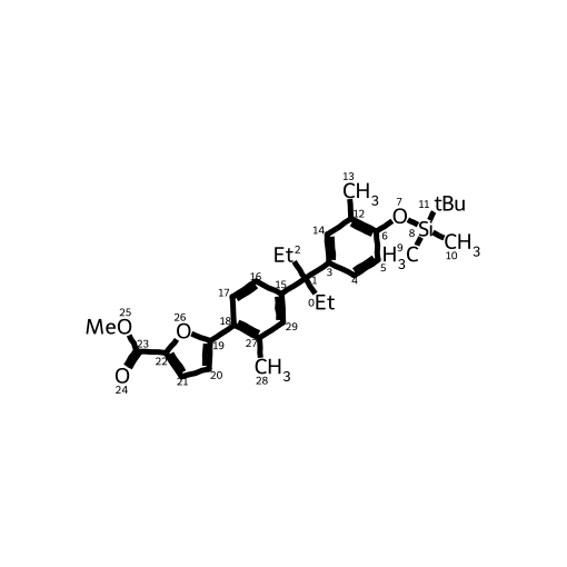 CCC(CC)(c1ccc(O[Si](C)(C)C(C)(C)C)c(C)c1)c1ccc(-c2ccc(C(=O)OC)o2)c(C)c1